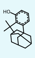 CC(C)(C)c1c(O)cccc1C12CC3CC(CC(C3)C1)C2